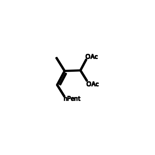 CCCCCC=C(C)C(OC(C)=O)OC(C)=O